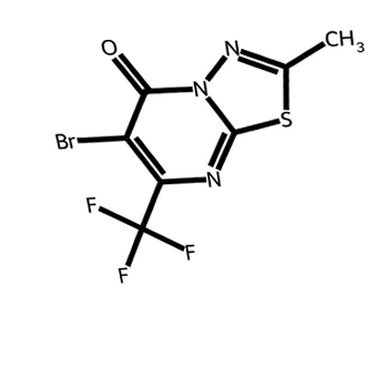 Cc1nn2c(=O)c(Br)c(C(F)(F)F)nc2s1